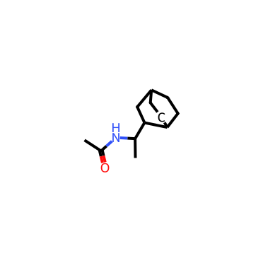 CC(=O)NC(C)C1CC2CCC1CC2